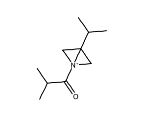 CC(C)C(=O)[N+]12CC1(C(C)C)C2